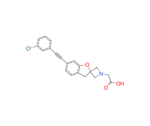 O=C(O)CN1CC2(Cc3ccc(C#Cc4cccc(Cl)c4)cc3O2)C1